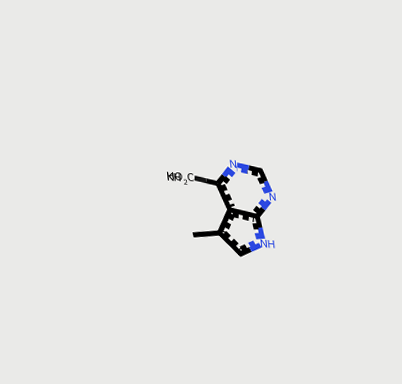 Cc1c[nH]c2ncnc(C(=O)O)c12.[KH]